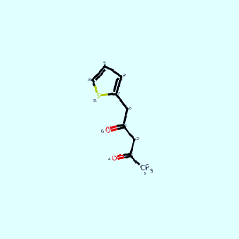 O=C(CC(=O)C(F)(F)F)Cc1cccs1